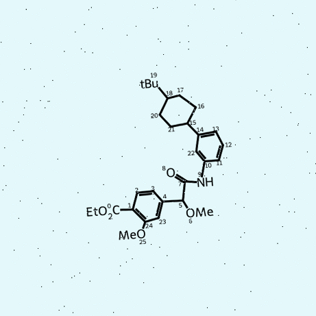 CCOC(=O)c1ccc(C(OC)C(=O)Nc2cccc(C3CCC(C(C)(C)C)CC3)c2)cc1OC